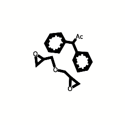 C(OCC1CO1)C1CO1.CC(=O)C(c1ccccc1)c1ccccc1